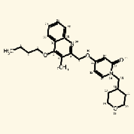 CCCCOc1c(C)c(COc2ccn(CC3CCOCC3)c(=O)c2)nc2ccccc12